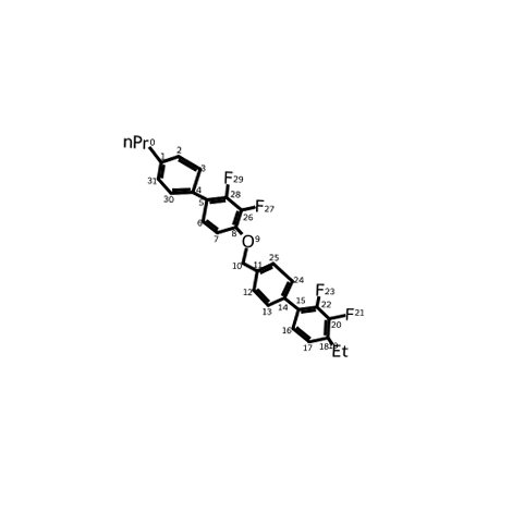 CCCc1ccc(-c2ccc(OCc3ccc(-c4ccc(CC)c(F)c4F)cc3)c(F)c2F)cc1